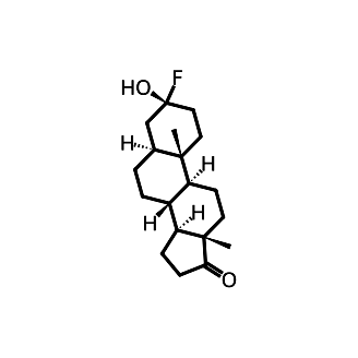 C[C@]12CC[C@@](O)(F)C[C@@H]1CC[C@@H]1[C@@H]2CC[C@]2(C)C(=O)CC[C@@H]12